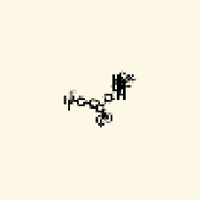 CCOC(=O)c1cc(-c2ccc([C@H]3C[C@H]4C[C@@H]3CN4C(=O)OC(C)(C)C)cc2)c2ccc(-c3ccc(C(F)(F)F)cc3)cc2c1